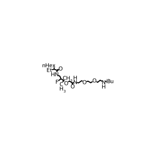 CCCCCCC(CC)C(=O)NCC(F)C(C)(C)OCC(=O)NCCOCCOCCNC(C)CC